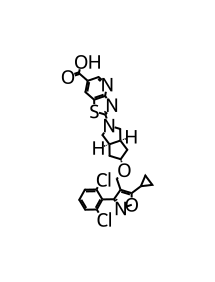 O=C(O)c1cnc2nc(N3C[C@H]4C[C@H](OCc5c(-c6c(Cl)cccc6Cl)noc5C5CC5)C[C@H]4C3)sc2c1